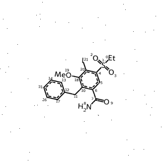 CCS(=O)(=O)c1cc(C(N)=O)c(Cc2ccccc2)c(OC)c1I